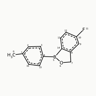 Cc1ccc(B2OCc3cc(F)ccc32)cc1